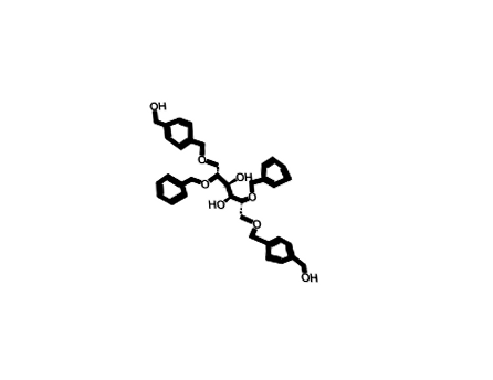 OCc1ccc(COC[C@@H](OCc2ccccc2)[C@@H](O)[C@H](O)[C@@H](COCc2ccc(CO)cc2)OCc2ccccc2)cc1